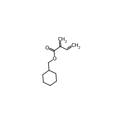 C=CC(=C)C(=O)OCC1CCCCC1